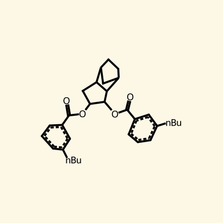 CCCCc1cccc(C(=O)OC2CC3C4CCC(C4)C3C2OC(=O)c2cccc(CCCC)c2)c1